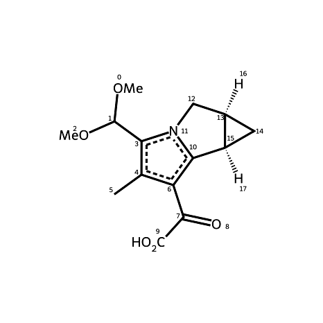 COC(OC)c1c(C)c(C(=O)C(=O)O)c2n1C[C@H]1C[C@@H]21